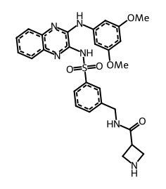 COc1cc(Nc2nc3ccccc3nc2NS(=O)(=O)c2cccc(CNC(=O)C3CNC3)c2)cc(OC)c1